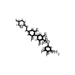 CC1CCC(CCc2cc(F)c(-c3cc(F)c(C(F)(F)Oc4cc(F)c(F)c(P)c4)c(F)c3)c(F)c2)OC1